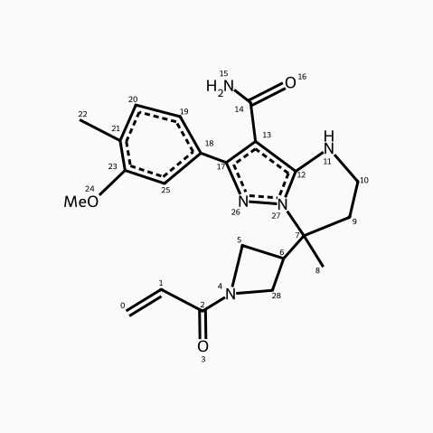 C=CC(=O)N1CC(C2(C)CCNc3c(C(N)=O)c(-c4ccc(C)c(OC)c4)nn32)C1